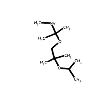 CNC(C)(C)OCC(C)(C)OC(C)C